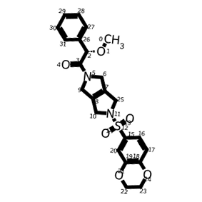 CO[C@H](C(=O)N1CC2=C(C1)CN(S(=O)(=O)c1ccc3c(c1)OCCO3)C2)c1ccccc1